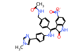 CC(=O)NCc1ccc(/C(Nc2ccc(-c3cn(C)cn3)cc2)=C2/C(=O)Nc3ccc([N+](=O)[O-])cc32)cc1